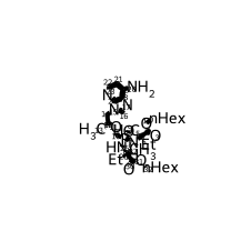 CCCCCCOC(=O)[C@](C)(CC)NP(=O)(CO[C@H](C)Cn1cnc2c(N)ccnc21)N[C@@](C)(CC)C(=O)OCCCCCC